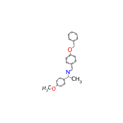 COc1ccc(C(C)N=Cc2ccc(OCc3ccccc3)cc2)cc1